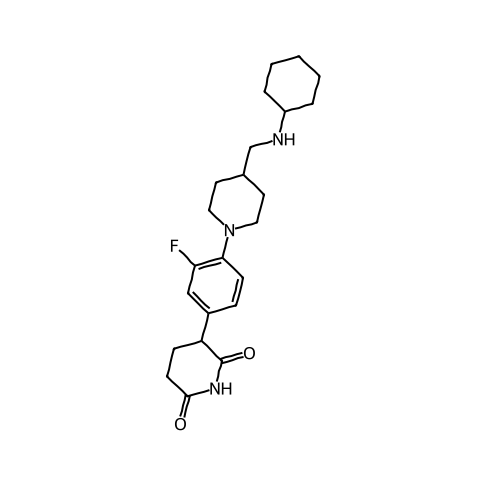 O=C1CCC(c2ccc(N3CCC(CNC4CCCCC4)CC3)c(F)c2)C(=O)N1